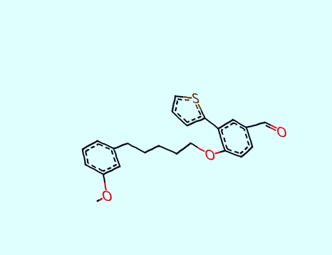 COc1cccc(CCCCCOc2ccc(C=O)cc2-c2cccs2)c1